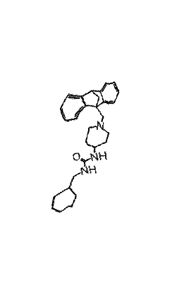 O=C(NCC1CCCCC1)NC1CCN(CC23CC(c4ccccc42)c2ccccc23)CC1